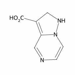 O=C(O)C1=C2C=NC=CN2NC1